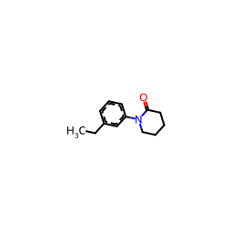 CCc1cccc(N2CCCCC2=O)c1